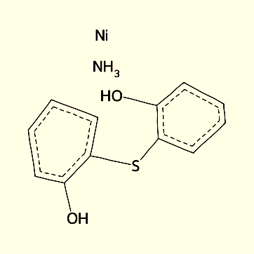 N.Oc1ccccc1Sc1ccccc1O.[Ni]